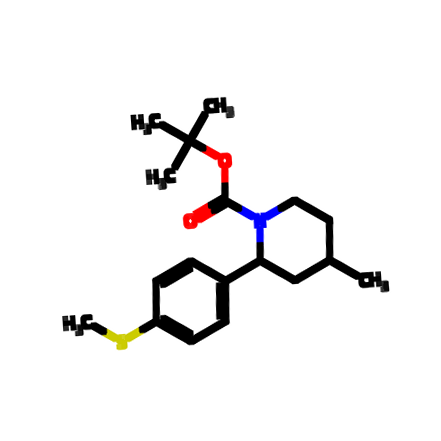 CSc1ccc(C2CC(C)CCN2C(=O)OC(C)(C)C)cc1